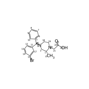 CC1CN([C@H](c2ccccc2)c2cccc(Br)c2)CCN1CC(=O)O